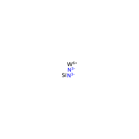 [N-3].[N-3].[Si].[W+6]